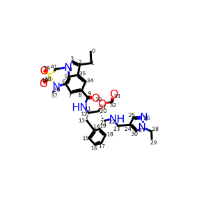 CCc1cn2c3c(cc(C(=O)N[C@@H](Cc4ccccc4)[C@@H](CNCc4cnn(CC)c4)OC=O)cc13)N(C)S(=O)(=O)C2